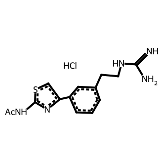 CC(=O)Nc1nc(-c2cccc(CCNC(=N)N)c2)cs1.Cl